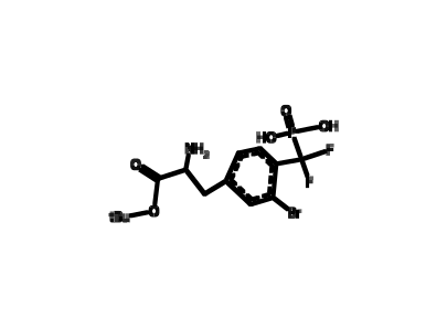 CC(C)(C)OC(=O)C(N)Cc1ccc(C(F)(F)P(=O)(O)O)c(Br)c1